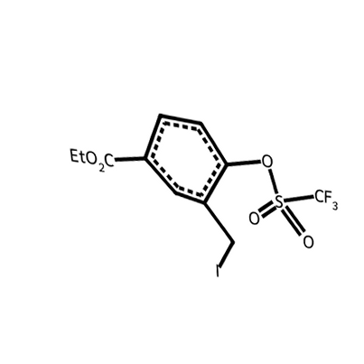 CCOC(=O)c1ccc(OS(=O)(=O)C(F)(F)F)c(CI)c1